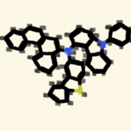 c1ccc(-n2c3ccccc3c3c(N(c4ccc5sc6ccccc6c5c4)c4cc5ccc6ccccc6c5c5ccccc45)cccc32)cc1